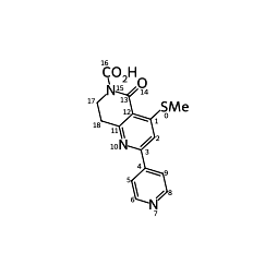 CSc1cc(-c2ccncc2)nc2c1C(=O)N(C(=O)O)CC2